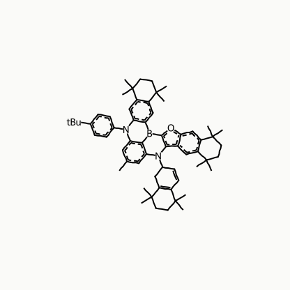 Cc1cc2c3c(c1)N(C1C=CC4=C(C1)C(C)(C)CCC4(C)C)c1c(oc4cc5c(cc14)C(C)(C)CCC5(C)C)B3c1cc3c(cc1N2c1ccc(C(C)(C)C)cc1)C(C)(C)CCC3(C)C